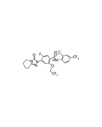 Cc1cc(C(F)(F)F)ccc1NC(=O)c1cc(F)c(-n2nc3n(c2=O)CCCC3)cc1OCC(F)(F)F